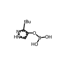 CC(C)(C)c1n[nH]cc1OB(O)O